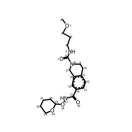 COCCCNC(=O)N1CCc2ccc(C(=O)NOC3CCCCO3)cc2C1